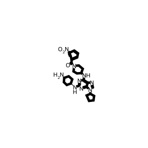 N[C@H]1CC[C@H](Nc2nc(NC3CCN(C(=O)c4cccc([N+](=O)[O-])c4)CC3)c3ncn(C4CCCC4)c3n2)CC1